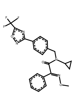 CON=C(C(=O)N(Cc1ccc(-c2noc(C(F)(F)F)n2)cc1)C1CC1)c1ccccc1